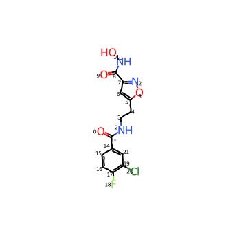 O=C(NCCc1cc(C(=O)NO)no1)c1ccc(F)c(Cl)c1